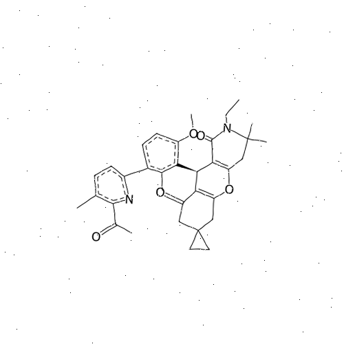 CCN1C(=O)C2=C(CC1(C)C)OC1=C(C(=O)CC3(CC3)C1)[C@H]2c1c(OC)ccc(-c2ccc(C)c(C(C)=O)n2)c1C